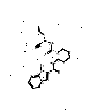 CCC[C@@H](C#N)NC(=O)[C@@H]1CCCCC1NC(=O)c1cc2ccccc2n1C